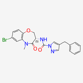 CN1C(=O)[C@@H](NC(=O)n2cc(Cc3ccccc3)cn2)COc2ccc(Br)cc21